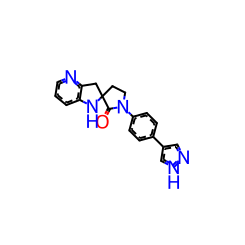 O=C1N(c2ccc(-c3cn[nH]c3)cc2)CCC12Cc1ncccc1N2